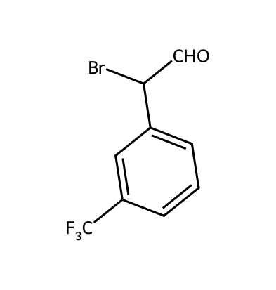 O=CC(Br)c1cccc(C(F)(F)F)c1